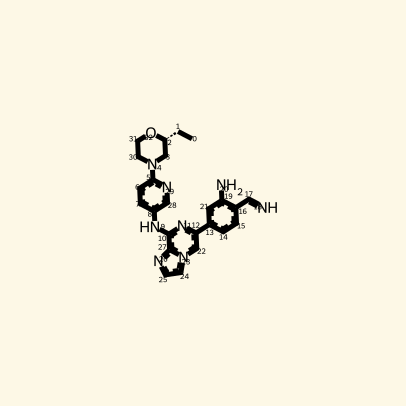 CC[C@@H]1CN(c2ccc(Nc3nc(-c4ccc(C=N)c(N)c4)cn4ccnc34)cn2)CCO1